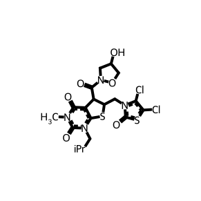 CC(C)Cn1c2c(c(=O)n(C)c1=O)C(C(=O)N1CC(O)CO1)C(Cn1c(Cl)c(Cl)sc1=O)S2